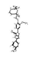 COc1cc(N2Cc3cc(-c4ccc(Cl)cc4)sc3C2=O)ccc1OCC1(O)CCSC(O)(O)C1